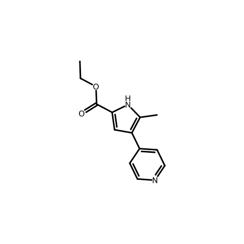 CCOC(=O)c1cc(-c2ccncc2)c(C)[nH]1